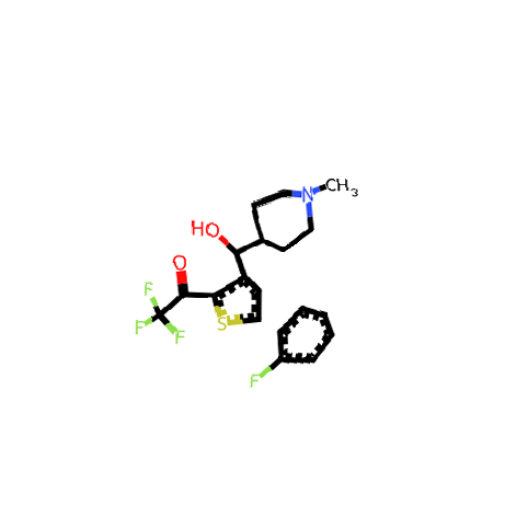 CN1CCC(C(O)c2ccsc2C(=O)C(F)(F)F)CC1.Fc1ccccc1